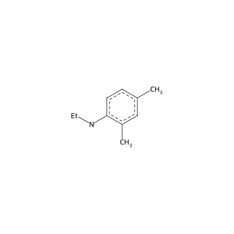 CC[N]c1ccc(C)cc1C